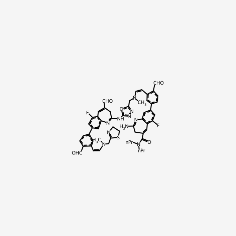 CCCN(CCC)C(=O)C1=Cc2c(F)cc(-c3ccc(C=O)c(/C=C\N(C)Cc4nnc(NC5=Nc6cc(-c7ccc(C=O)c(/C=C\N(C)CC8=NCCS8)c7)cc(F)c6C=C(C=O)C5)o4)c3)cc2N=C(N)C1